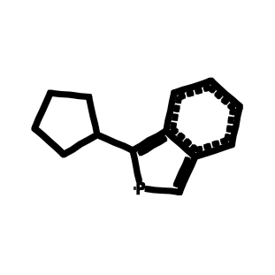 C1=c2ccccc2=C(C2CCCC2)[P]1